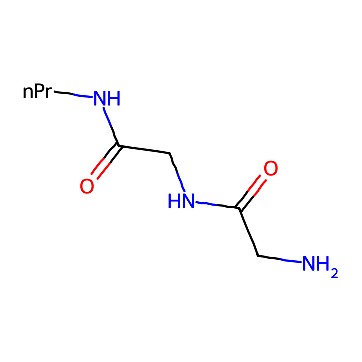 CCCNC(=O)CNC(=O)CN